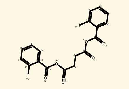 N=C(CCC(=O)OC(=O)c1ccccc1I)OC(=O)c1ccccc1I